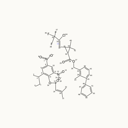 CCC(C)c1cc([N+](=O)[O-])cc([N+](=O)[O-])c1OC(=O)C=C(C)C.Cc1c(COC(=O)C2C(/C=C(\Cl)C(F)(F)F)C2(C)C)cccc1-c1ccccc1